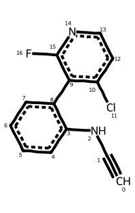 C#CNc1ccccc1-c1c(Cl)ccnc1F